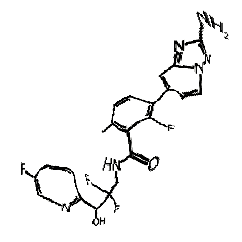 Cc1ccc(-c2ccn3nc(N)nc3c2)c(F)c1C(=O)NCC(F)(F)C(O)c1ccc(F)cn1